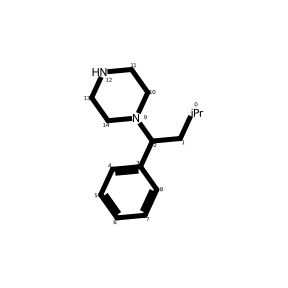 CC(C)CC(c1ccccc1)N1CCNCC1